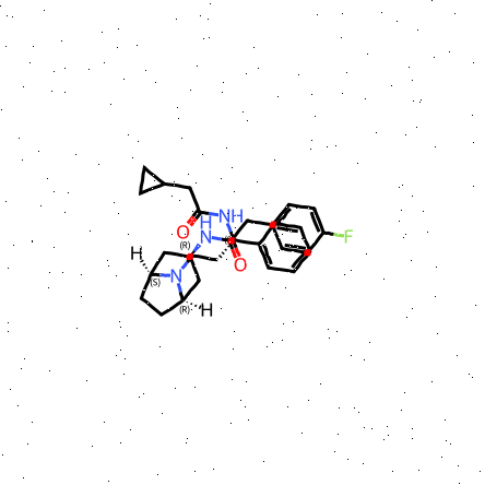 O=C(Cc1ccc(F)cc1)N[C@H]1C[C@H]2CC[C@@H](C1)N2CC[C@H](NC(=O)CC1CC1)c1ccccc1